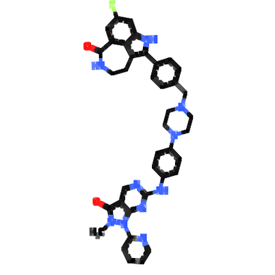 Cn1c(=O)c2cnc(Nc3ccc(N4CCN(Cc5ccc(-c6[nH]c7cc(F)cc8c7c6CCNC8=O)cc5)CC4)cc3)nc2n1-c1ccccn1